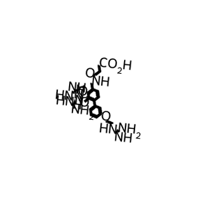 N=C(N)NCCOc1cccc(-c2ccc(CNC(=O)CCC(=O)O)c(ONC(=N)N)c2ONC(=N)N)c1